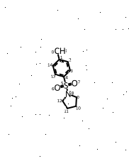 [CH]c1ccc(S(=O)(=O)N2CCCC2)cc1